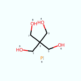 OCC(CO)(CO)CO.[P]